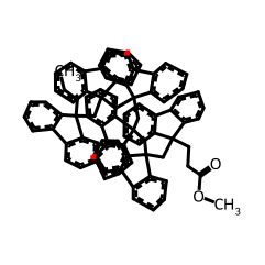 CCCC1(CC2(CC3(CC4(CC5(CC6(CCC(=O)OC)c7ccccc7-c7ccccc76)c6ccccc6-c6ccccc65)c5ccccc5-c5ccccc54)c4ccccc4-c4ccccc43)c3ccccc3-c3ccccc32)c2ccccc2-c2ccccc21